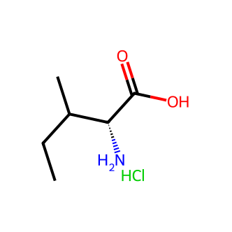 CCC(C)[C@@H](N)C(=O)O.Cl